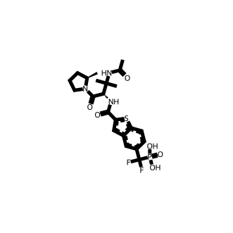 CC(=O)NC(C)(C)[C@H](NC(=O)c1cc2cc(C(F)(F)P(=O)(O)O)ccc2s1)C(=O)N1CCC[C@H]1C